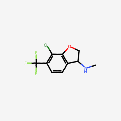 CNC1COc2c1ccc(C(F)(F)F)c2Cl